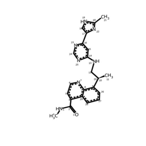 CNC(=O)c1ccnc2c([C@H](C)CNc3cc(-c4c[nH]c(C)n4)ncn3)cccc12